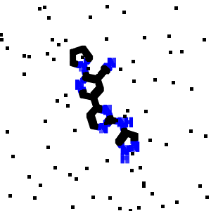 N#Cc1cc(-c2ccnc(Nc3cn[nH]c3)n2)cnc1N1CCCC1